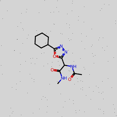 CNC(=O)C(NC(C)=O)c1nnc(C2CCCCC2)o1